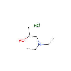 CCN(CC)CC(C)O.Cl